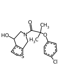 CC(C)(Oc1ccc(Cl)cc1)C(=O)N1Cc2sccc2C(O)C1